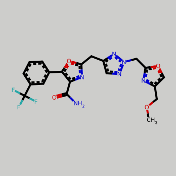 COCc1coc(Cn2ncc(Cc3nc(C(N)=O)c(-c4cccc(C(F)(F)F)c4)o3)n2)n1